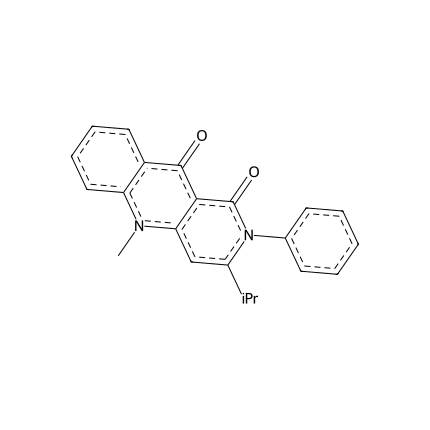 CC(C)c1cc2c(c(=O)c3ccccc3n2C)c(=O)n1-c1ccccc1